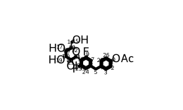 CC(=O)Oc1ccc(Cc2cc(F)c([C@@H]3O[C@H](CO)[C@@H](O)[C@H](O)[C@H]3O)c(F)c2)cc1